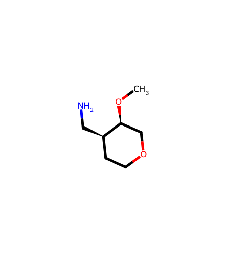 CO[C@H]1COCC[C@H]1CN